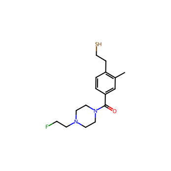 Cc1cc(C(=O)N2CCN(CCF)CC2)ccc1CCS